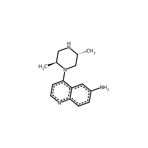 C[C@@H]1CN(c2ccnc3ccc(N)cc23)[C@@H](C)CN1